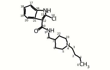 CCCCN1CCC(CNC(=O)c2c(Cl)[nH]c3ccccc23)CC1